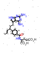 CC=CC(CCc1c[nH]c2nc(N)nc(N)c12)c1ccc(C(=O)N[C@@H](CCC(=O)O)C(=O)O)cc1